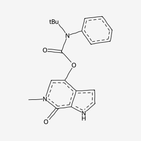 Cn1cc(OC(=O)N(c2ccccc2)C(C)(C)C)c2cc[nH]c2c1=O